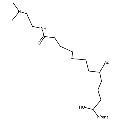 CCCCCC(O)CCCC(CCCCCCC(=O)NCCN(C)C)C(C)=O